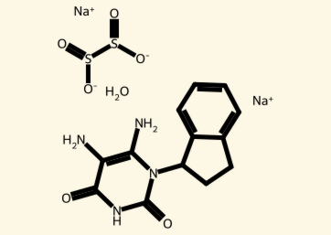 Nc1c(N)n(C2CCc3ccccc32)c(=O)[nH]c1=O.O.O=S([O-])S(=O)[O-].[Na+].[Na+]